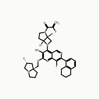 C=C(F)C(=O)N1CC[C@@H]2[C@H]1CN2c1c(C#N)c(OC[C@@]23CCCN2C[C@H](F)C3)nc2c(F)c(-c3cccc4c3CCCC4)ncc12